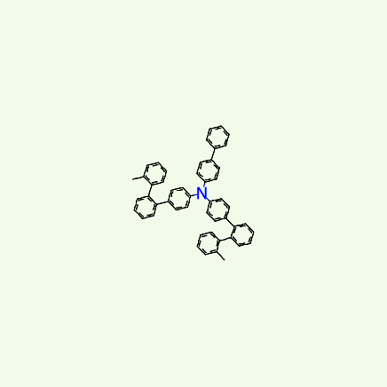 Cc1ccccc1-c1ccccc1-c1ccc(N(c2ccc(-c3ccccc3)cc2)c2ccc(-c3ccccc3-c3ccccc3C)cc2)cc1